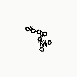 c1ccc(-c2nc(-c3ccccc3)nc(-c3cc(-n4c5ccccc5c5ccc(-c6ccc7c(c6)sc6ccccc67)cc54)ccn3)n2)cc1